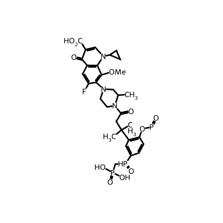 COc1c(N2CCN(C(=O)CC(C)(C)c3cc([PH](=O)CP(=O)(O)O)ccc3OP=O)C(C)C2)c(F)cc2c(=O)c(C(=O)O)cn(C3CC3)c12